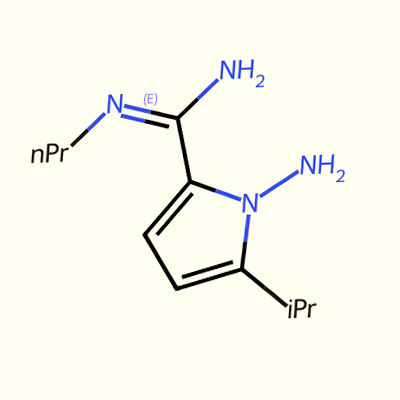 CCC/N=C(/N)c1ccc(C(C)C)n1N